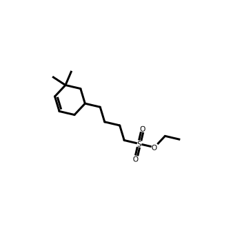 CCOS(=O)(=O)CCCCC1CC=CC(C)(C)C1